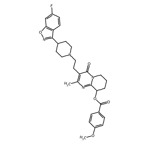 COc1ccc(C(=O)OC2CCCn3c2nc(C)c(CCN2CCC(c4noc5cc(F)ccc45)CC2)c3=O)cc1